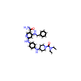 CCN(CC)C(=O)N1CCC(Nc2ccc(Nc3cc(NCc4ccccc4)c(C(N)=O)cn3)cc2)CC1